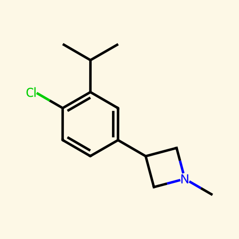 CC(C)c1cc(C2CN(C)C2)ccc1Cl